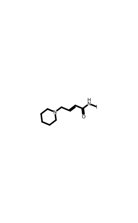 O=C(/C=C/CN1CCCCC1)NI